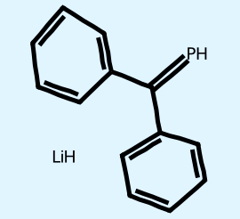 P=C(c1ccccc1)c1ccccc1.[LiH]